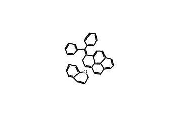 C1=Cc2ccccc2OC1.C1=c2ccc3cccc4ccc(c2c43)C(=C(c2ccccc2)c2ccccc2)C1